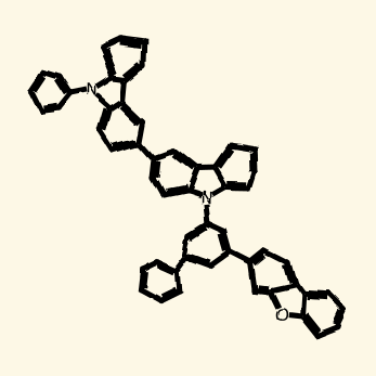 c1ccc(-c2cc(-c3ccc4c(c3)oc3ccccc34)cc(-n3c4ccccc4c4cc(-c5ccc6c(c5)c5ccccc5n6-c5ccccc5)ccc43)c2)cc1